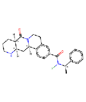 C[C@H](c1ccccc1)N(F)C(=O)c1ccc2c(c1)CCN1C(=O)[C@@H]3CCCN[C@@H]3C[C@H]21